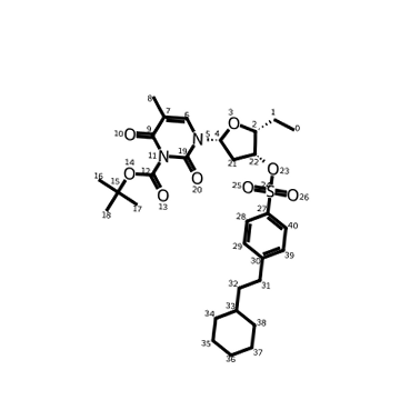 CC[C@H]1O[C@@H](n2cc(C)c(=O)n(C(=O)OC(C)(C)C)c2=O)C[C@H]1OS(=O)(=O)c1ccc(CCC2CCCCC2)cc1